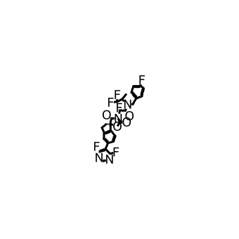 CC(N(Cc1ccc(F)cc1)C(=O)CN1C(=O)O[C@@]2(CCc3cc(-c4c(F)ncnc4F)ccc32)C1=O)C(F)(F)F